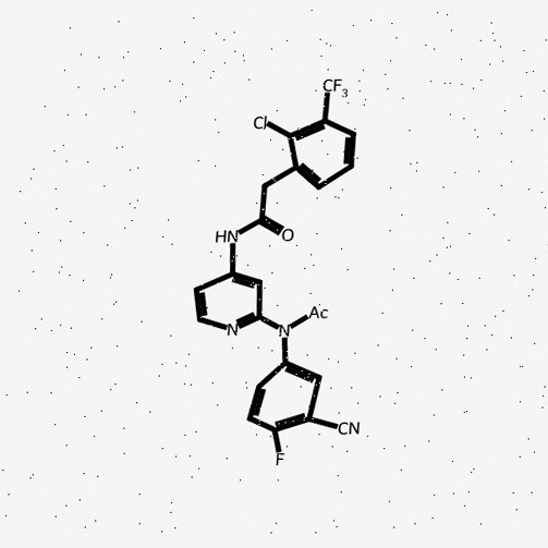 CC(=O)N(c1ccc(F)c(C#N)c1)c1cc(NC(=O)Cc2cccc(C(F)(F)F)c2Cl)ccn1